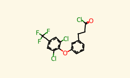 O=C(Cl)CCc1cccc(Oc2c(Cl)cc(C(F)(F)F)cc2Cl)c1